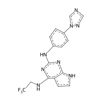 FC(F)(F)CNc1nc(Nc2ccc(-n3cncn3)cc2)nc2[nH]ccc12